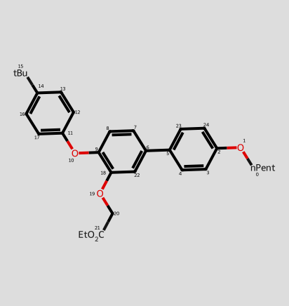 CCCCCOc1ccc(-c2ccc(Oc3ccc(C(C)(C)C)cc3)c(OCC(=O)OCC)c2)cc1